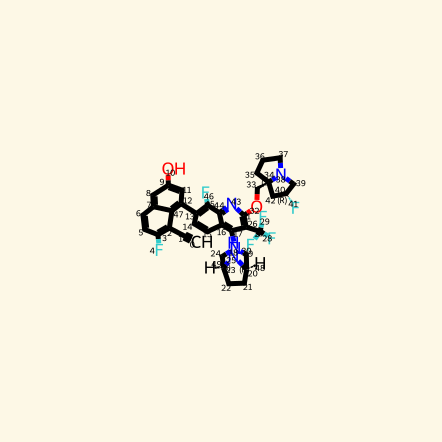 C#Cc1c(F)ccc2cc(O)cc(-c3ccc4c(N5C[C@H]6CC[C@@H](C5)N6)c(C(F)(F)F)c(OC[C@@]56CCCN5C[C@H](F)C6)nc4c3F)c12